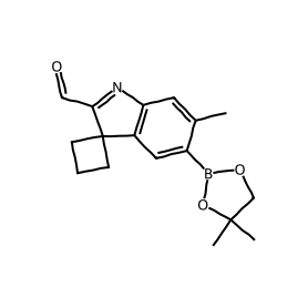 Cc1cc2c(cc1B1OCC(C)(C)O1)C1(CCC1)C(C=O)=N2